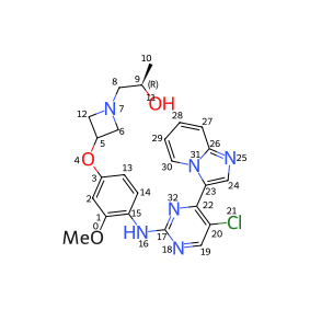 COc1cc(OC2CN(C[C@@H](C)O)C2)ccc1Nc1ncc(Cl)c(-c2cnc3ccccn23)n1